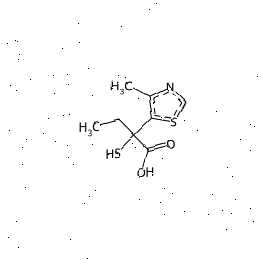 CCC(S)(C(=O)O)c1scnc1C